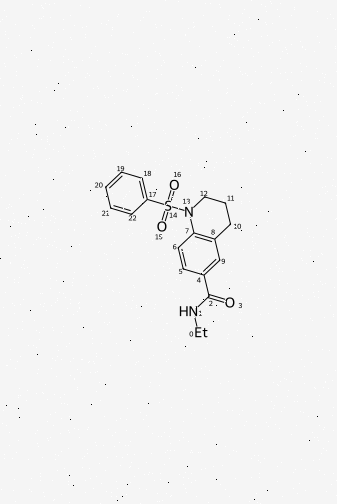 CCNC(=O)c1ccc2c(c1)CCCN2S(=O)(=O)c1ccccc1